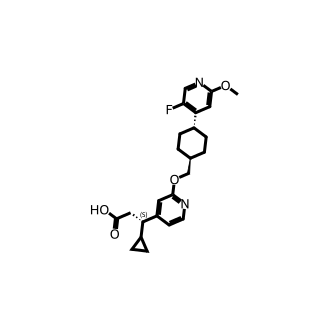 COc1cc([C@H]2CC[C@H](COc3cc([C@@H](CC(=O)O)C4CC4)ccn3)CC2)c(F)cn1